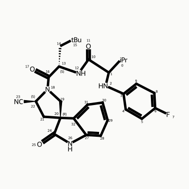 CC(C)C(Nc1ccc(F)cc1)C(=O)N[C@@H](CC(C)(C)C)C(=O)N1C[C@]2(C[C@H]1C#N)C(=O)Nc1ccccc12